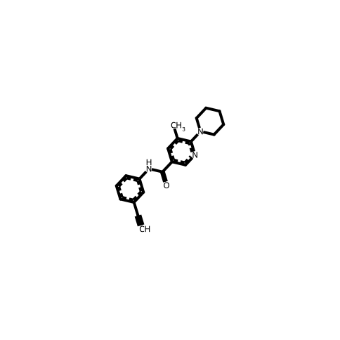 C#Cc1cccc(NC(=O)c2cnc(N3CCCCC3)c(C)c2)c1